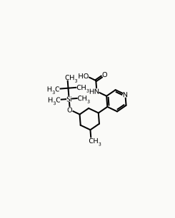 CC1CC(O[Si](C)(C)C(C)(C)C)CC(c2ccncc2NC(=O)O)C1